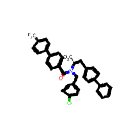 O=C(O)[C@H](Cc1ccc(-c2ccccc2)cc1)N(Cc1ccc(Cl)cc1)C(=O)c1ccc(-c2ccc(C(F)(F)F)cc2)cc1